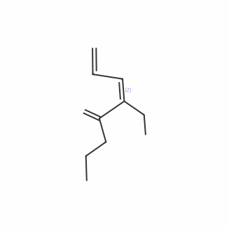 C=C/C=C(/CC)C(=C)CCC